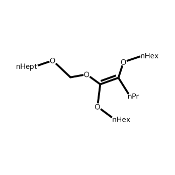 CCCCCCCOCOC(OCCCCCC)=C(CCC)OCCCCCC